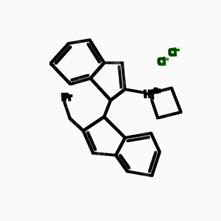 CC(C)CC1=Cc2ccccc2C1C1[C]([Hf+2]2[CH2]C[CH2]2)=Cc2ccccc21.[Cl-].[Cl-]